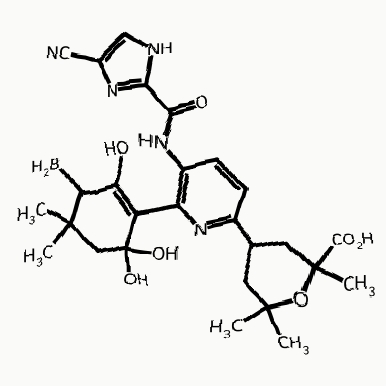 BC1C(O)=C(c2nc(C3CC(C)(C)OC(C)(C(=O)O)C3)ccc2NC(=O)c2nc(C#N)c[nH]2)C(O)(O)CC1(C)C